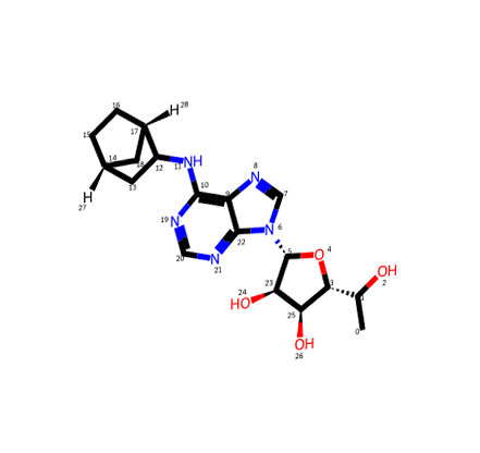 CC(O)[C@H]1O[C@@H](n2cnc3c(NC4C[C@@H]5CC[C@H]4C5)ncnc32)[C@H](O)[C@@H]1O